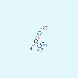 Cn1cc(-c2cc(S(=O)(=O)N3CCC(OC4CCCCO4)CC3)ccc2OCC2CC2)c2cc[nH]c2c1=O